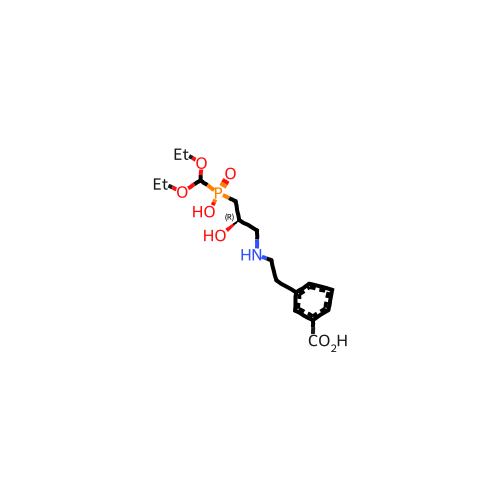 CCOC(OCC)P(=O)(O)C[C@H](O)CNCCc1cccc(C(=O)O)c1